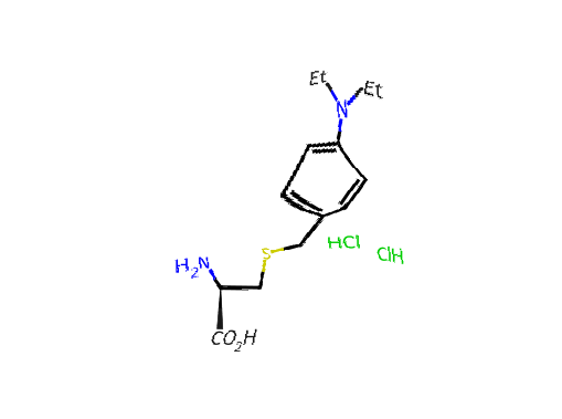 CCN(CC)c1ccc(CSC[C@H](N)C(=O)O)cc1.Cl.Cl